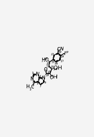 Cc1ncnc2c1ccn2[C@@H]1O[C@H]([C@H](O)c2ccc(I)c(C#N)c2)[C@@H](O)[C@H]1O